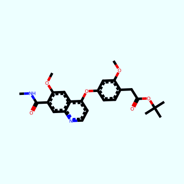 CNC(=O)c1cc2nccc(Oc3ccc(CC(=O)OC(C)(C)C)c(OC)c3)c2cc1OC